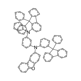 c1ccc(N(c2cccc(N(c3cccc(C4(c5ccccc5)c5ccccc5-c5ccccc54)c3)c3ccc4oc5ccccc5c4c3)c2)c2cccc3c2C(c2ccccc2)(c2ccccc2)c2ccccc2-3)cc1